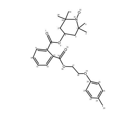 CC1(C)CC(OC(=O)c2ccccc2C(=O)OCCOc2ccc(I)cc2)CC(C)(C)N1[O]